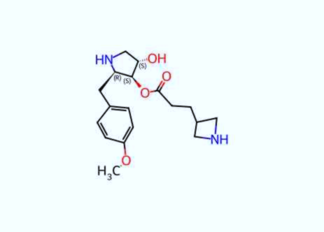 COc1ccc(C[C@H]2NC[C@H](O)[C@H]2OC(=O)CCC2CNC2)cc1